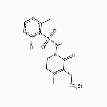 CCOC(=O)CC1=C(C)CCN(NS(=O)(=O)c2c(C)cccc2Cl)C1=O